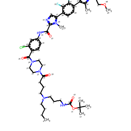 CCCCN(CCCNC(=O)OC(C)(C)C)CCCC(=O)N1CCN(C(=O)c2ccc(NC(=O)c3ncc(-c4ccc(-c5cnn(CCOC)c5C)c(F)c4F)n3C)cc2Cl)CC1